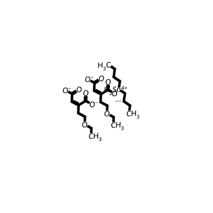 CCC[CH2][SnH2+4][CH2]CCC.CCOCC/C(=C/C(=O)[O-])C(=O)[O-].CCOCC/C(=C/C(=O)[O-])C(=O)[O-]